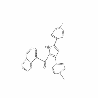 Cc1ccc(-c2cc(-c3ccc(C)cc3)c(C(=O)c3cccc4ccccc34)[nH]2)cc1